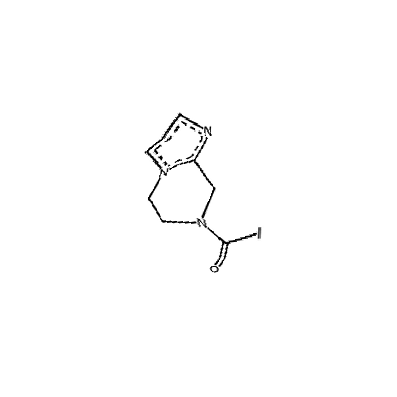 O=C(I)N1CCn2ccnc2C1